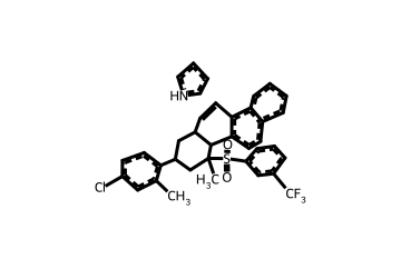 Cc1cc(Cl)ccc1C1CC2C=Cc3c(ccc4ccccc34)C2C(C)(S(=O)(=O)c2cccc(C(F)(F)F)c2)C1.c1cc[nH]c1